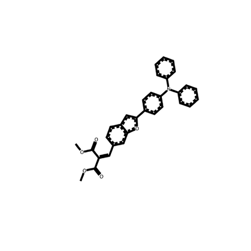 COC(=O)C(=Cc1ccc2cc(-c3ccc(N(c4ccccc4)c4ccccc4)cc3)oc2c1)C(=O)OC